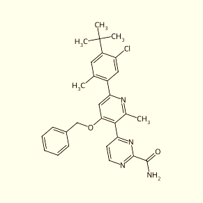 Cc1cc(C(C)(C)C)c(Cl)cc1-c1cc(OCc2ccccc2)c(-c2ccnc(C(N)=O)n2)c(C)n1